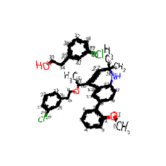 COc1ccccc1-c1ccc2c(c1)C(C(C)OCCc1cccc(Cl)c1)=CC(C)(C)N2.OCCc1cccc(Cl)c1